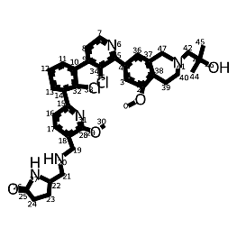 COc1cc(-c2nccc(-c3cccc(-c4ccc(CNCC5CCC(=O)N5)c(OC)n4)c3Cl)c2Cl)cc2c1CCN(CC(C)(C)O)C2